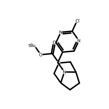 CC(C)(C)OC(=O)N1CC2CCC(C1)N2Cc1cnc(Cl)nc1